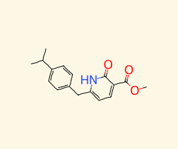 COC(=O)c1ccc(Cc2ccc(C(C)C)cc2)[nH]c1=O